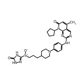 Cc1cc(=O)n(C2CCCC2)c2nc(Nc3ccc(N4CCC(CCC[S+]([O-])c5n[nH]c(=O)[nH]5)CC4)cc3)ncc12